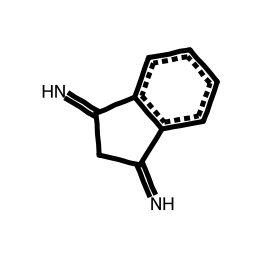 N=C1CC(=N)c2ccccc21